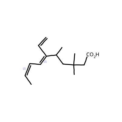 C=C/C(=C\C=C/C)C(C)CC(C)(C)CC(=O)O